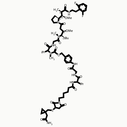 CC[C@H](C)C([C@@H](CC(=O)N1CCC[C@H]1[C@H](OC)[C@@H](C)C(=O)NCCc1c(F)cccc1F)OC)N(C)C(=O)CNC(=O)C(C(C)C)N(C)C(=O)OCc1ccc(NC(=O)CNC(=O)C(NC(=O)CCCCCN2C(=O)CC(SCC3(CC(N)=O)CC3)C2=O)C(C)C)cc1